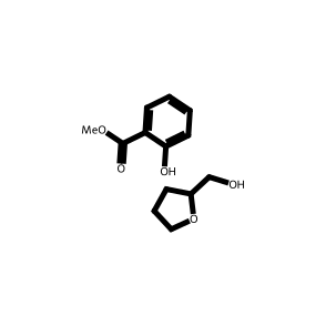 COC(=O)c1ccccc1O.OCC1CCCO1